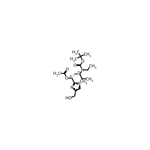 CCN(C(=O)OC(C)(C)C)[C@H](C[C@@H](OC(C)=O)c1nc(CO)cs1)C(C)C